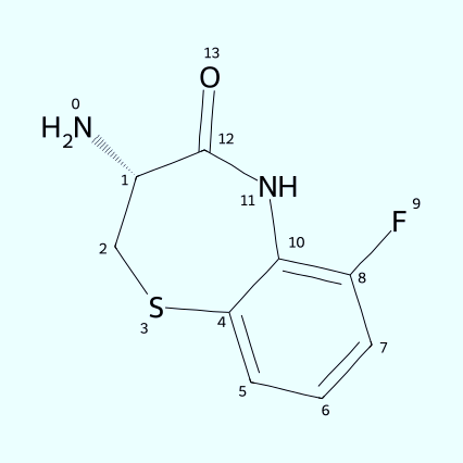 N[C@H]1CSc2cccc(F)c2NC1=O